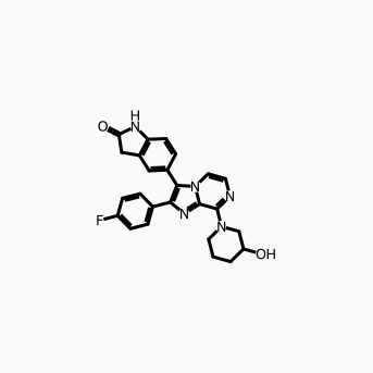 O=C1Cc2cc(-c3c(-c4ccc(F)cc4)nc4c(N5CCCC(O)C5)nccn34)ccc2N1